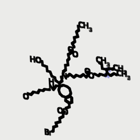 C=C/C=C(CCCC)\C(=C/CCCOC(=O)CCCCCCCN(CCCCCCCC(=O)OCCCCCCCCC)CCC(CCCCCCCCO)C1(CCNCCCCCCCC=O)CCCCc2ccc(CCOC(=O)CCCCCCCBr)cc2CCC1)CCCC